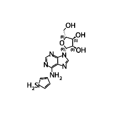 C1=C[SiH2]C=C1.Nc1ncnc2c1ncn2[C@@H]1O[C@H](CO)[C@@H](O)[C@H]1O